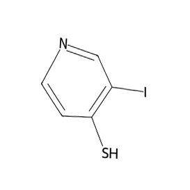 Sc1ccncc1I